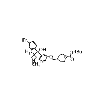 CC(C)c1ccc(C(O)(c2cncc(OCC3CCN(C(=O)OC(C)(C)C)CC3)c2)C2(C)CN(C)C2)cc1